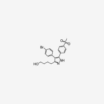 CS(=O)(=O)c1ccc(-c2[nH]nc(CCCCO)c2-c2ccc(Br)cc2)cc1